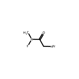 CCCCC(=O)N(C)F